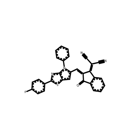 N#CC(C#N)=C1/C(=C/c2cc3sc(-c4ccc(F)cc4)nc3n2-c2ccccc2)C(=O)c2ccccc21